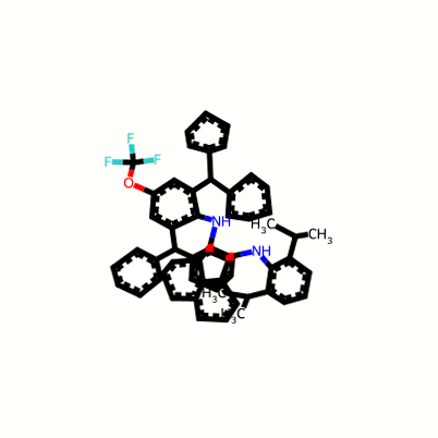 CC(C)c1cccc(C(C)C)c1NC1=C(Nc2c(C(c3ccccc3)c3ccccc3)cc(OC(F)(F)F)cc2C(c2ccccc2)c2ccccc2)c2cccc3cccc1c23